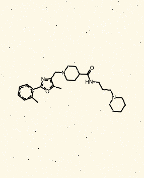 Cc1ccccc1-c1nc(CN2CCC(C(=O)NCCCN3CCCCC3)CC2)c(C)o1